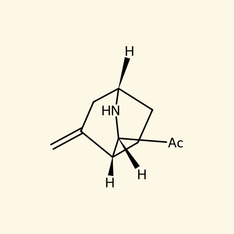 C=C1C[C@@H]2CC[C@H]1[C@@H](C(C)=O)N2